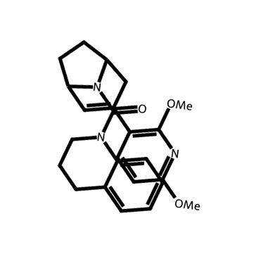 COc1ccc(C2=CC3CCC(C2)N3C(=O)N2CCCc3ccccc32)c(OC)n1